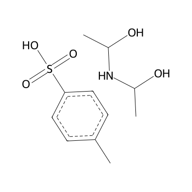 CC(O)NC(C)O.Cc1ccc(S(=O)(=O)O)cc1